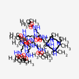 C=Cc1c(C)c2cc3nc(c(C)c4cc(C)c(cc5nc(cc1[nH]2)C(C)=C5CC)[nH]4)[C@@H](CCC(=O)N[C@@H](CCCCNC(=O)OC(C)(C)C)C(=O)N[C@@H](CCCCNC(=O)OC(C)(C)C)C(=O)N[C@@H](CCCCNC(=O)OC(C)(C)C)C(=O)N[C@@H](CCCCNC(=O)OC(C)(C)C)C(=O)N[C@@H](CCCCNC(=O)OC(C)(C)C)C(=O)N(C)C)[C@@H]3C